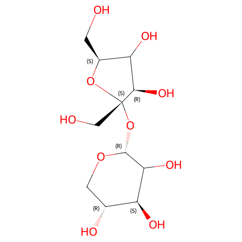 OC[C@@H]1O[C@@](CO)(O[C@H]2OC[C@@H](O)[C@H](O)C2O)[C@H](O)C1O